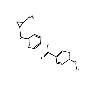 CCOc1ccc(C(=O)Nc2ccc(OC3OC3C)cc2)cc1